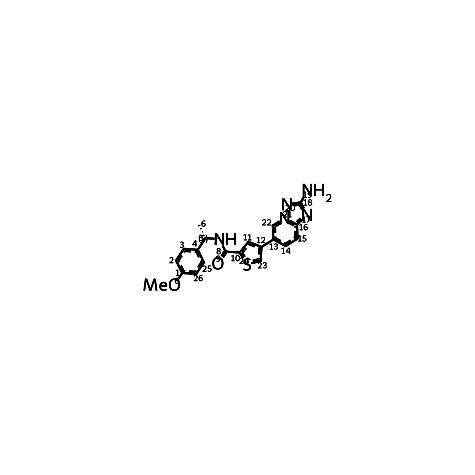 COc1ccc([C@H](C)NC(=O)c2cc(-c3ccc4nc(N)nn4c3)cs2)cc1